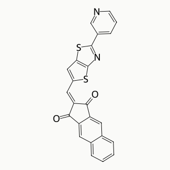 O=C1C(=Cc2cc3sc(-c4cccnc4)nc3s2)C(=O)c2cc3ccccc3cc21